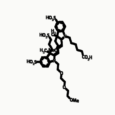 COCCOCCOCCN1/C(=C/C=C/C2N(CCCCCC(=O)O)c3ccc(S(=O)(=O)O)cc3C2(C)CCOC)C(C)(CCCS(=O)(=O)O)c2cc(S(=O)(=O)O)ccc21